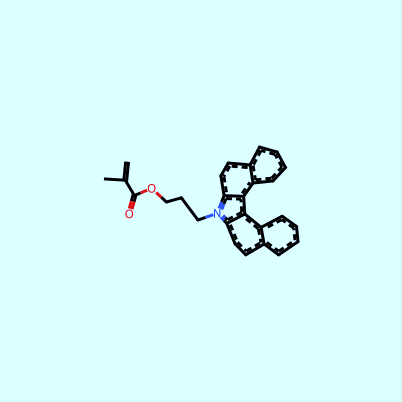 C=C(C)C(=O)OCCCn1c2ccc3ccccc3c2c2c3ccccc3ccc21